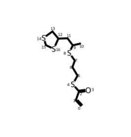 C=CC(=O)SCCCSC(C)CC1CSCS1